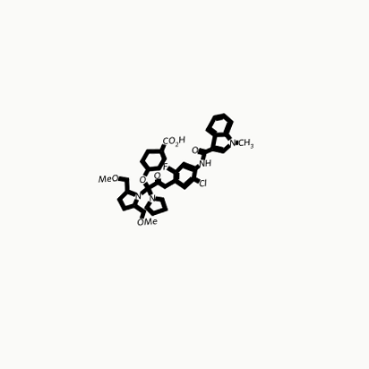 COCC1CCC(COC)N1C(OC1CCC(C(=O)O)CC1)(C(=O)Cc1cc(Cl)c(NC(=O)c2cn(C)c3ccccc23)cc1F)N1CCCC1